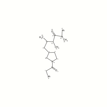 CC(C)CC(=O)N1CCC(CC(C)C(C)C(=O)N(C)C(C)C)C1